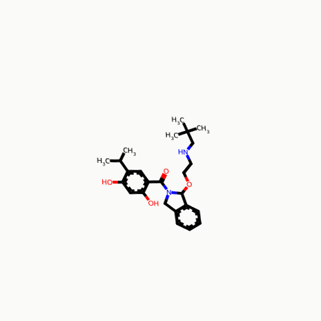 CC(C)c1cc(C(=O)N2Cc3ccccc3C2OCCNCC(C)(C)C)c(O)cc1O